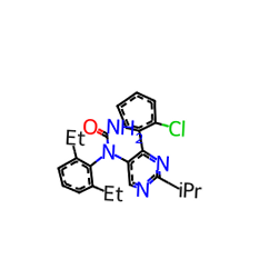 CCc1cccc(CC)c1N(C(N)=O)c1cnc(C(C)C)nc1-c1ccccc1Cl